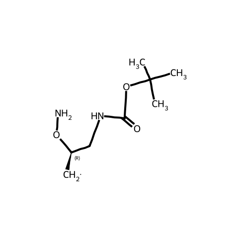 [CH2][C@H](CNC(=O)OC(C)(C)C)ON